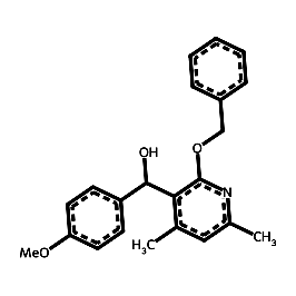 COc1ccc(C(O)c2c(C)cc(C)nc2OCc2ccccc2)cc1